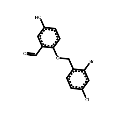 O=Cc1cc(O)ccc1OCc1ccc(Cl)cc1Br